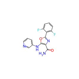 NC(=O)c1nc(-c2c(F)cccc2F)oc1Nc1cccnc1